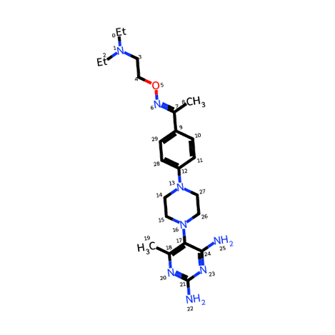 CCN(CC)CCON=C(C)c1ccc(N2CCN(c3c(C)nc(N)nc3N)CC2)cc1